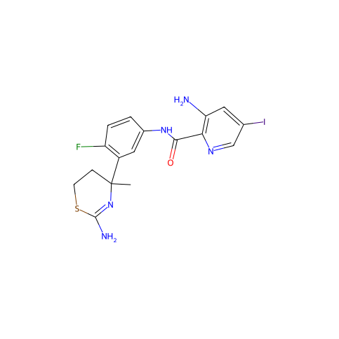 CC1(c2cc(NC(=O)c3ncc(I)cc3N)ccc2F)CCSC(N)=N1